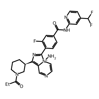 CCC(=O)N1CCC[C@@H](C2=C3C=NC=C[N+]3(N)C(c3ccc(C(=O)Nc4cc(C(F)F)ccn4)cc3F)=N2)C1